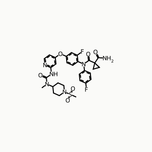 CN(C(=O)Nc1cc(Oc2ccc(N(C(=O)C3(C(N)=O)CC3)c3ccc(F)cc3)c(F)c2)ccn1)C1CCN(S(C)(=O)=O)CC1